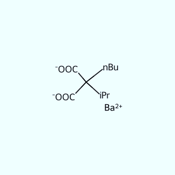 CCCCC(C(=O)[O-])(C(=O)[O-])C(C)C.[Ba+2]